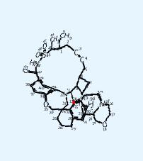 CC1CCCCC2CCC2C(CN2CCN3CCOC[C@H]3C2)N2CC3(CCCc4ccccc43)COc3ccc(cc32)C(=O)NS(=O)(=O)C1C